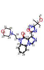 COC(C)(C)c1noc(-c2ncn3c2c(=O)n(CCN2CCOCC2)c2ccccc23)n1